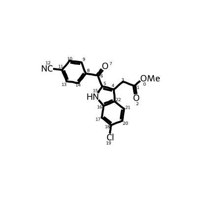 COC(=O)Cc1c(C(=O)c2ccc(C#N)cc2)[nH]c2cc(Cl)ccc12